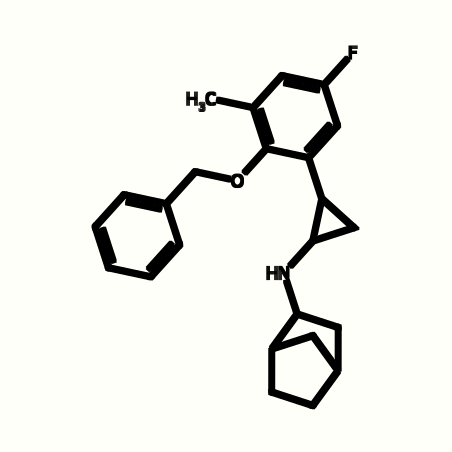 Cc1cc(F)cc(C2CC2NC2CC3CCC2C3)c1OCc1ccccc1